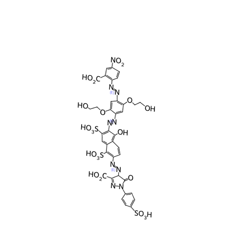 O=C(O)C1=NN(c2ccc(S(=O)(=O)O)cc2)C(=O)C1/N=N/c1ccc2c(O)c(/N=N/c3cc(OCCO)c(/N=N/c4ccc([N+](=O)[O-])cc4C(=O)O)cc3OCCO)c(S(=O)(=O)O)cc2c1S(=O)(=O)O